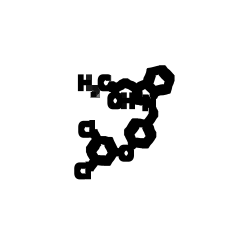 C=C(O)Cc1cn(Cc2ccc(Oc3cc(Cl)cc(Cl)c3)cc2)c2ccccc12